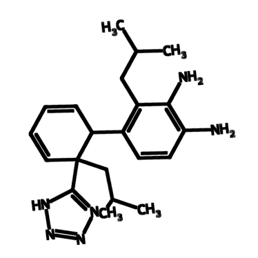 CC(C)Cc1c(C2C=CC=CC2(CC(C)C)c2nnn[nH]2)ccc(N)c1N